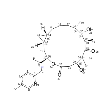 C/C(=C\c1ccc(C)cn1)[C@H]1C[C@@H]2C[C@@H]2CCC[C@H](C)[C@H](O)[C@@H](C)C(=O)C(C)(C)[C@@H](O)CC(=O)O1